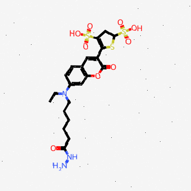 CCN(CCCCCC(=O)NN)c1ccc2cc(C3=C(S(=O)(=O)O)CC(S(=O)(=O)O)S3)c(=O)oc2c1